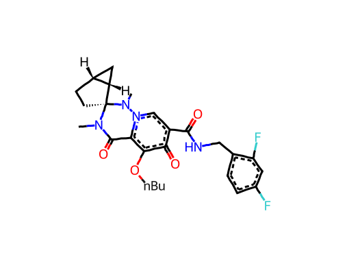 CCCCOc1c2n(cc(C(=O)NCc3ccc(F)cc3F)c1=O)N(C)[C@@]1(CC[C@@H]3C[C@@H]31)N(C)C2=O